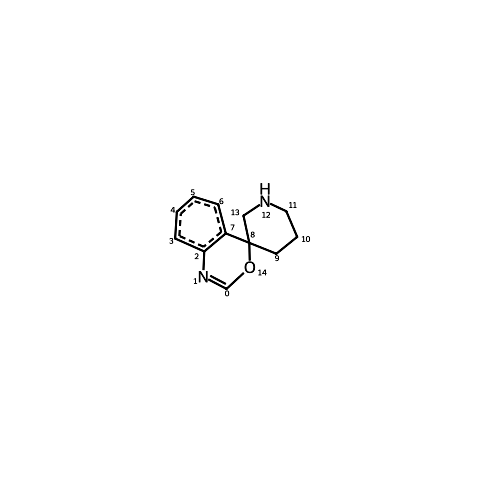 C1=Nc2ccccc2C2(CCCNC2)O1